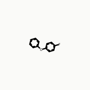 Fc1ccc(Oc2cc[c]cc2)cc1